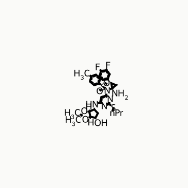 CCCSc1nc(N[C@@H]2C[C@H](O)[C@H]3OC(C)(C)O[C@H]32)cc(N([C@]2(N)C[C@H]2c2ccc(F)c(F)c2)S(=O)(=O)c2ccc(C)cc2)n1